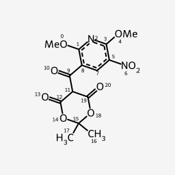 COc1nc(OC)c([N+](=O)[O-])cc1C(=O)C1C(=O)OC(C)(C)OC1=O